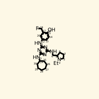 CCN1CCCC1CNc1nc(Nc2ccc(O)c(CF)c2)nc(NC2CCCCCC2)n1